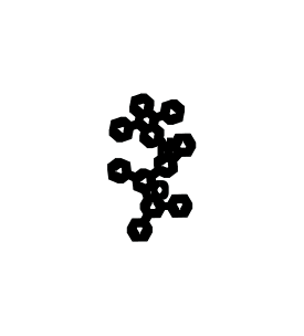 c1ccc(-c2cc(-c3ccccc3)c3oc4c(-c5ccc6c7ccccc7n(-c7ccc8c(-c9ccccc9)c9ccccc9c(-c9ccccc9)c8c7)c6c5)cc(-c5ccccc5)cc4c3c2)cc1